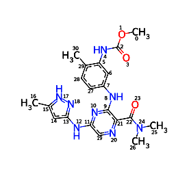 COC(=O)Nc1cc(Nc2nc(Nc3cc(C)[nH]n3)cnc2C(=O)N(C)C)ccc1C